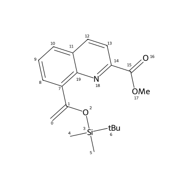 C=C(O[Si](C)(C)C(C)(C)C)c1cccc2ccc(C(=O)OC)nc12